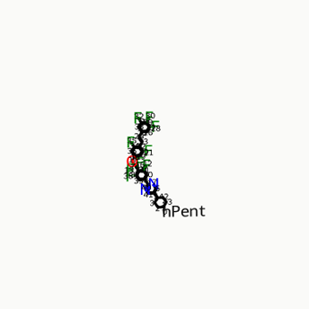 CCCCCC1CCC(c2cnc(-c3cc(F)c(C(F)(F)Oc4cc(F)c(/C=C/c5cc(F)c(F)c(F)c5)c(F)c4)c(F)c3)nc2)CC1